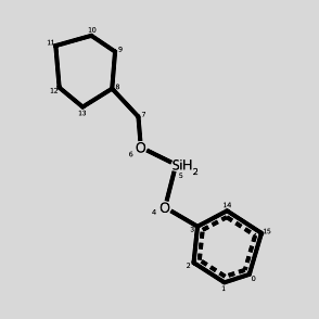 c1ccc(O[SiH2]OCC2CCCCC2)cc1